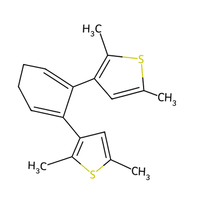 Cc1cc(C2=CCCC=C2c2cc(C)sc2C)c(C)s1